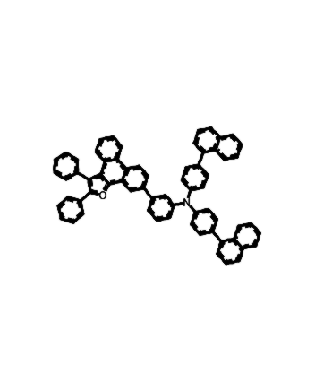 c1ccc(-c2oc3c4cc(-c5cccc(N(c6ccc(-c7cccc8ccccc78)cc6)c6ccc(-c7cccc8ccccc78)cc6)c5)ccc4c4ccccc4c3c2-c2ccccc2)cc1